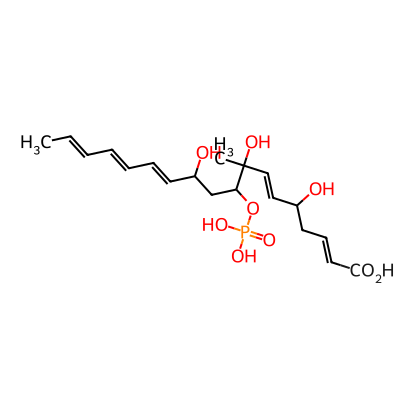 CC=CC=CC=CC(O)CC(OP(=O)(O)O)C(C)(O)C=CC(O)CC=CC(=O)O